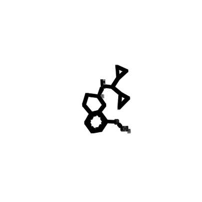 COc1cccc2c1C[C@H](NC(C1CC1)C1CC1)CC2